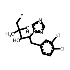 CC(C)(CF)C(O)C(Cc1ccc(Cl)c(Cl)c1)n1cncn1